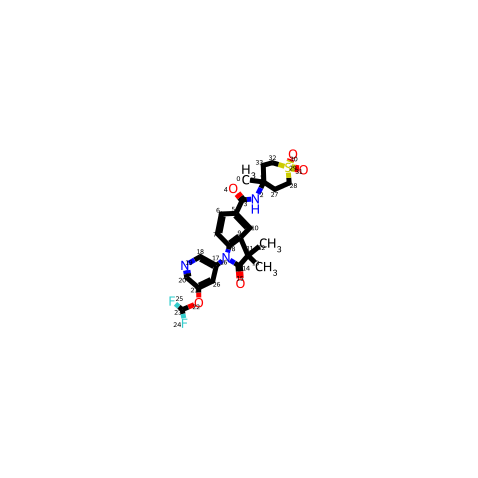 CC1(NC(=O)c2ccc3c(c2)C(C)(C)C(=O)N3c2cncc(OC(F)F)c2)CCS(=O)(=O)CC1